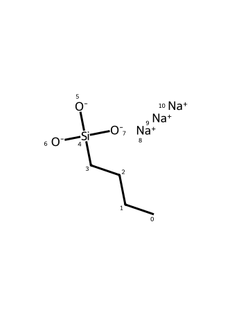 CCCC[Si]([O-])([O-])[O-].[Na+].[Na+].[Na+]